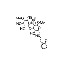 CCONC1C(OC)OC(CNCCn2ccccc2=O)C(O)C1OC1OC(C(=O)O)C(OC)C(O)C1O